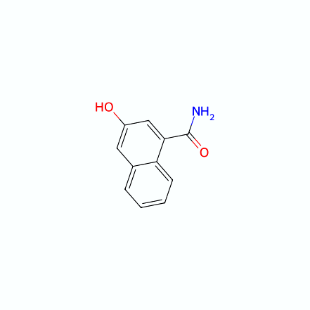 NC(=O)c1cc(O)cc2ccccc12